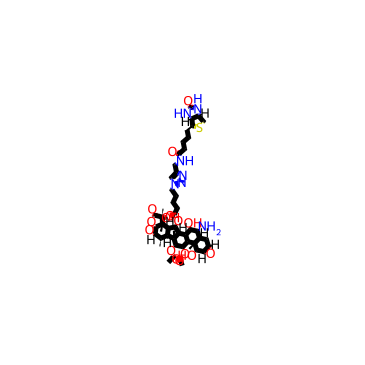 CC(=O)O[C@H]1C2C([C@@H](O)[C@H](N)[C@H]3C[C@@H]4O[C@@H]4[C@H](O)[C@]23C)[C@@H]2[C@@H](OC(=O)CCCCn3cc(CNC(=O)CCCC[C@@H]4SC[C@@H]5NC(=O)N[C@@H]54)nn3)[C@@H]3[C@H]([C@H](C)[C@H]4O[C@]45OC(=O)[C@@](C)(O)[C@]35C)[C@@]2(C)[C@H]1OC(C)=O